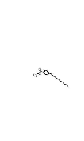 CCCCCCCCCCc1ccc(C(=O)OCS)cc1